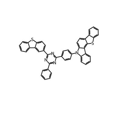 c1ccc(-c2nc(-c3ccc(-n4c5ccccc5c5c6sc7ccccc7c6ccc54)cc3)nc(-c3ccc4sc5ccccc5c4c3)n2)cc1